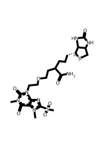 Cn1c(=O)c2c(nc(S(C)(=O)=O)n2C)n(CCOCCC(CCC[C@H]2SCC3NC(=O)NC32)C(N)=O)c1=O